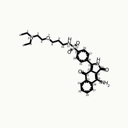 CCN(CC)CCOCCCNS(=O)(=O)c1ccc(C2=C3C(=O)c4ccccc4C(N)=C3C(=O)N2)cc1